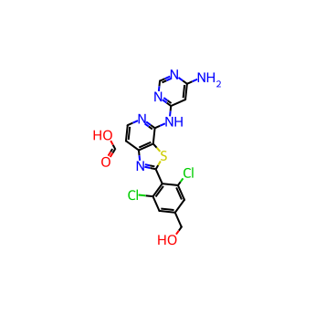 Nc1cc(Nc2nccc3nc(-c4c(Cl)cc(CO)cc4Cl)sc23)ncn1.O=CO